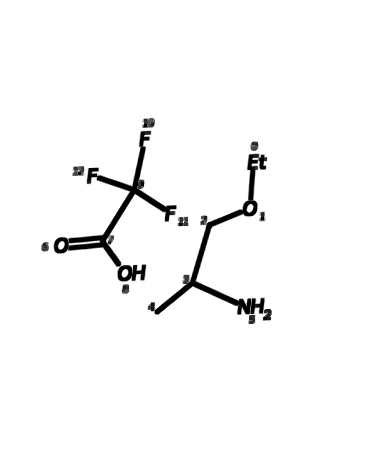 CCOCC(C)N.O=C(O)C(F)(F)F